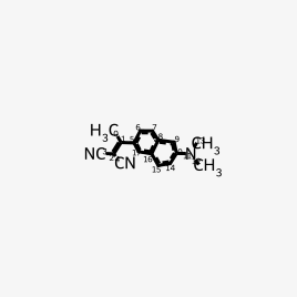 CC(=C(C#N)C#N)c1ccc2cc(N(C)C)ccc2c1